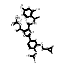 CC(NC(=O)c1nc(-c2ccc(OC(F)F)c(OCC3CC3)c2)oc1C(C)OC(N)=O)c1ccc(F)cc1F